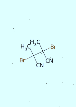 CC(Br)(C#N)C(C)(Br)C#N